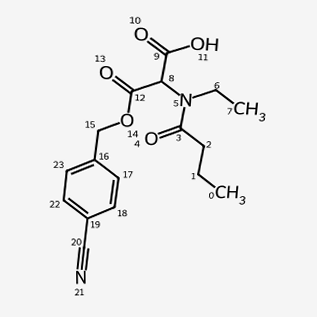 CCCC(=O)N(CC)C(C(=O)O)C(=O)OCc1ccc(C#N)cc1